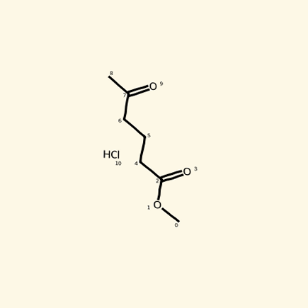 COC(=O)CCCC(C)=O.Cl